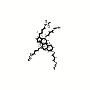 C[C@H](CCCOS(C)(=O)=O)C1CC[C@H]2C3[C@H](OCCCN=[N+]=[N-])CC4C[C@H](OCCCN=[N+]=[N-])CC[C@]4(C)[C@H]3C[C@H](OCCCN=[N+]=[N-])[C@]12C